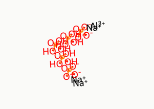 O=P(O)(O)O.O=P(O)(O)O.O=P(O)(O)O.O=P([O-])([O-])[O-].O=P([O-])([O-])[O-].[Al+3].[Na+].[Na+].[Na+]